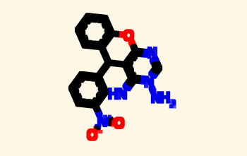 N=c1c2c(ncn1N)Oc1ccccc1C2c1cccc([N+](=O)[O-])c1